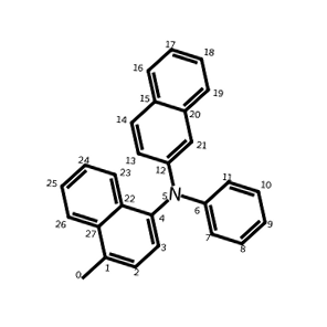 Cc1ccc(N(c2ccccc2)c2ccc3ccccc3c2)c2ccccc12